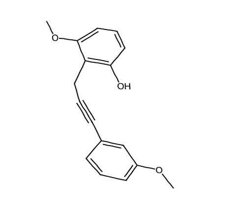 COc1cccc(C#CCc2c(O)cccc2OC)c1